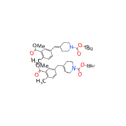 COC(=O)c1cc(C=C2CCN(C(=O)OC(C)(C)C)CC2)ccc1C.COC(=O)c1cc(CC2=CCN(C(=O)OC(C)(C)C)CC2)ccc1C